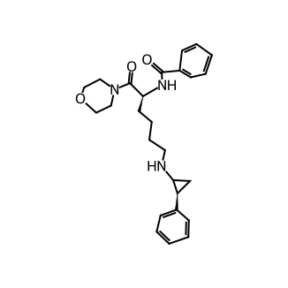 O=C(N[C@@H](CCCCNC1C[C@H]1c1ccccc1)C(=O)N1CCOCC1)c1ccccc1